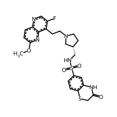 COc1ccc2ncc(F)c(CCN3CC[C@H](CNS(=O)(=O)c4ccc5c(c4)NC(=O)CS5)C3)c2n1